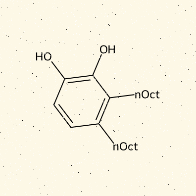 CCCCCCCCc1ccc(O)c(O)c1CCCCCCCC